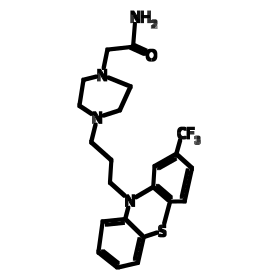 NC(=O)CN1CCN(CCCN2c3ccccc3Sc3ccc(C(F)(F)F)cc32)CC1